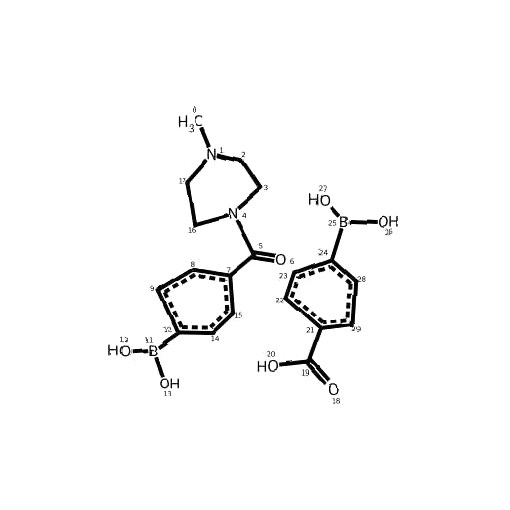 CN1CCN(C(=O)c2ccc(B(O)O)cc2)CC1.O=C(O)c1ccc(B(O)O)cc1